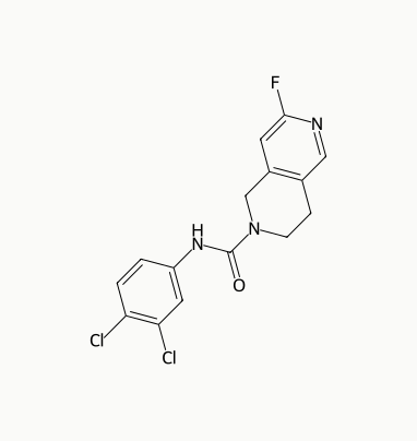 O=C(Nc1ccc(Cl)c(Cl)c1)N1CCc2cnc(F)cc2C1